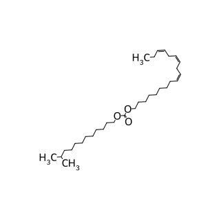 CC/C=C\C/C=C\C/C=C\CCCCCCCCOC(=O)OCCCCCCCCCCC(C)C